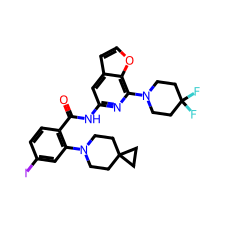 O=C(Nc1cc2ccoc2c(N2CCC(F)(F)CC2)n1)c1ccc(I)cc1N1CCC2(CC1)CC2